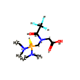 CN(C)P(=S)(CN(CC(=O)O)C(=O)C(F)(F)F)N(C)C